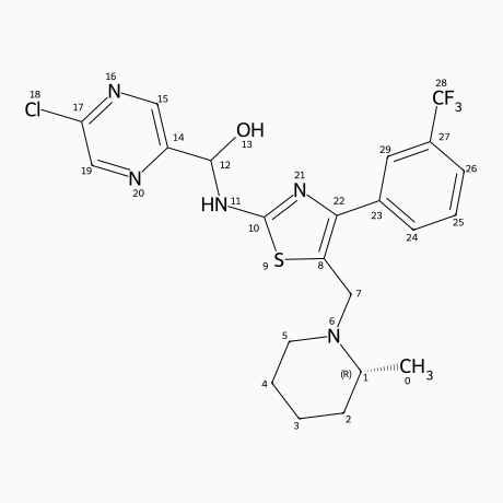 C[C@@H]1CCCCN1Cc1sc(NC(O)c2cnc(Cl)cn2)nc1-c1cccc(C(F)(F)F)c1